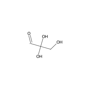 O=[C]C(O)(O)CO